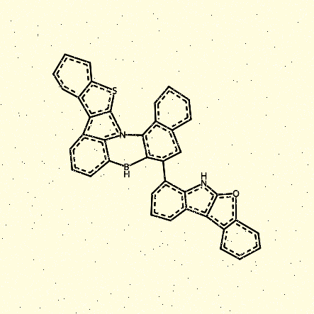 B1c2c(-c3cccc4c3[nH]c3oc5ccccc5c34)cc3ccccc3c2-n2c3sc4ccccc4c3c3cccc1c32